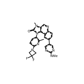 CNc1ncc(-c2ccc3ncc4c(c3c2)n(-c2ccc(N3CC(F)(F)C3)nc2C)c(=O)n4C)cn1